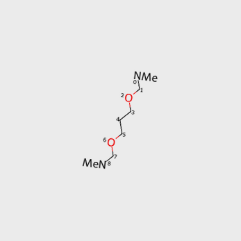 CNCOCCCOCNC